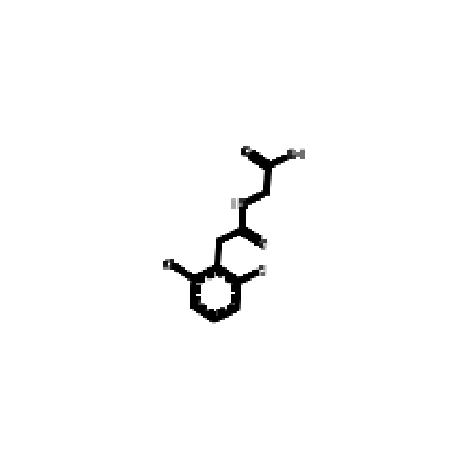 O=C(O)CNC(=O)Cc1c(Cl)cccc1Cl